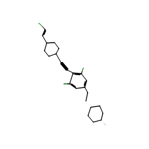 CCCC[C@H]1CC[C@H](CCc2cc(F)c(C#CC3CCC(/C=C/Cl)CC3)c(F)c2)CC1